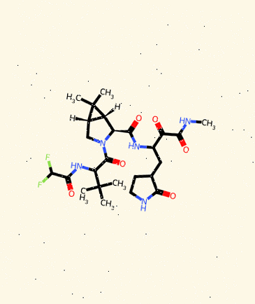 CNC(=O)C(=O)C(CC1CCNC1=O)NC(=O)[C@@H]1[C@@H]2[C@H](CN1C(=O)C(NC(=O)C(F)F)C(C)(C)C)C2(C)C